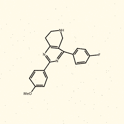 COc1ccc(-c2nc3c(c(-c4ccc(F)cc4)n2)CNCC3)cc1